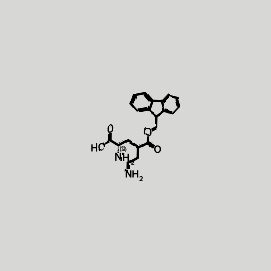 NCCC(C[C@H](N)C(=O)O)C(=O)OCC1c2ccccc2-c2ccccc21